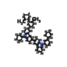 Cc1ccccc1-c1cc(-c2ccc3c(c2)c2cc(-c4ccc5c(c4)c4ccccc4n5-c4cccc(-c5ccccc5)c4)ccc2n3-c2ccccc2)ccc1C